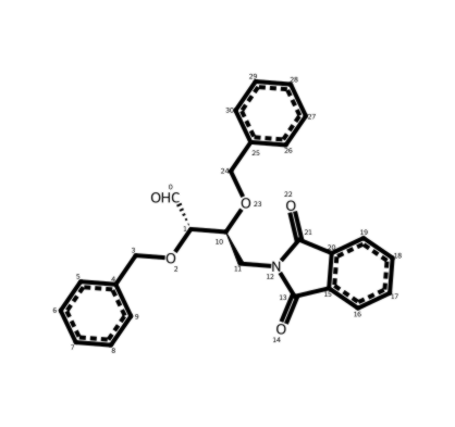 O=C[C@@H](OCc1ccccc1)[C@H](CN1C(=O)c2ccccc2C1=O)OCc1ccccc1